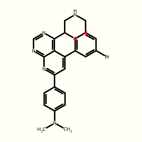 CN(C)c1ccc(-c2cc(-c3cccc(Br)c3)c3c(C4CNCCO4)ncnc3n2)cc1